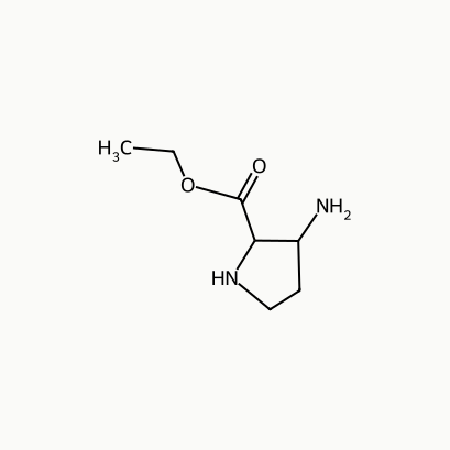 CCOC(=O)C1NCCC1N